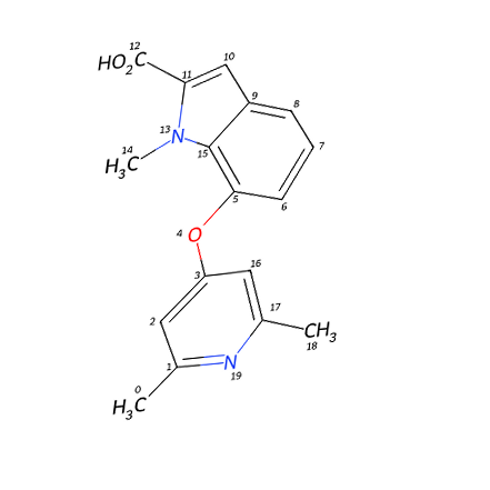 Cc1cc(Oc2cccc3cc(C(=O)O)n(C)c23)cc(C)n1